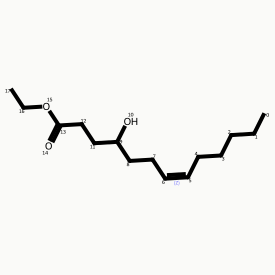 CCCCC/C=C\CCC(O)CCC(=O)OCC